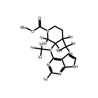 [2H]c1nc(N(C([2H])([2H])[2H])C2([2H])C([2H])([2H])N(C(=O)OC(C)(C)C)CCC2([2H])C([2H])([2H])[2H])c2cc[nH]c2n1